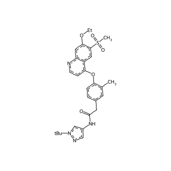 CCOc1cc2nccc(Oc3ccc(CC(=O)Nc4cnn(C(C)(C)C)c4)cc3C)c2cc1S(C)(=O)=O